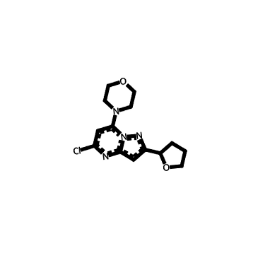 Clc1cc(N2CCOCC2)n2nc(C3CCCO3)cc2n1